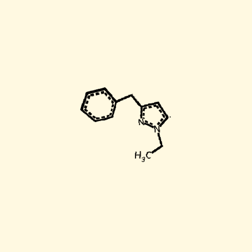 CCn1[c]cc(Cc2ccccc2)n1